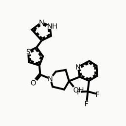 O=C(c1csc(-c2cn[nH]c2)c1)N1CCC(O)(c2ncccc2C(F)(F)F)CC1